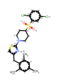 Cc1cc(C)c(Cc2csc(N3CCC(S(=O)(=O)c4cc(Cl)ccc4Cl)CC3)n2)c(C)c1